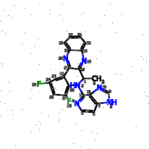 CC(Nc1nccc2[nH]cnc12)c1nc2ccccc2nc1-c1cc(F)cc(F)c1